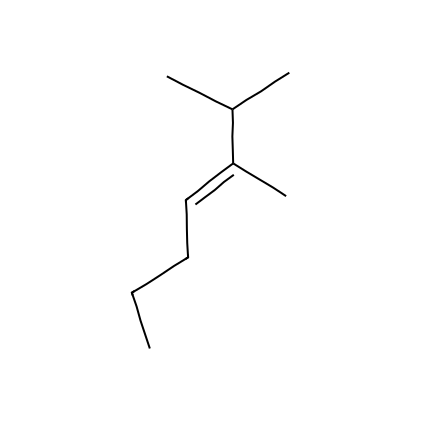 CCC/C=C(\C)C(C)C